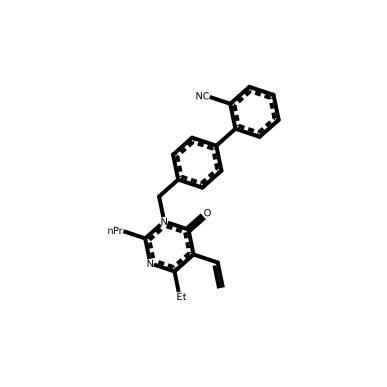 C=Cc1c(CC)nc(CCC)n(Cc2ccc(-c3ccccc3C#N)cc2)c1=O